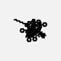 C=CCCCCCCO[C@@H]1OC2COC(c3ccccc3)O[C@H]2[C@H](O[C@@H]2OC3COC(c4ccccc4)O[C@@H]3[C@H](O[C@H]3OC(COC(C)=O)[C@H](C)[C@H](C)C3N=[N+]=[N-])C2O[C@@H]2OC(C)[C@@H](OCc3ccccc3)[C@H](OCc3ccccc3)C2OCc2ccccc2)C1N=[N+]=[N-]